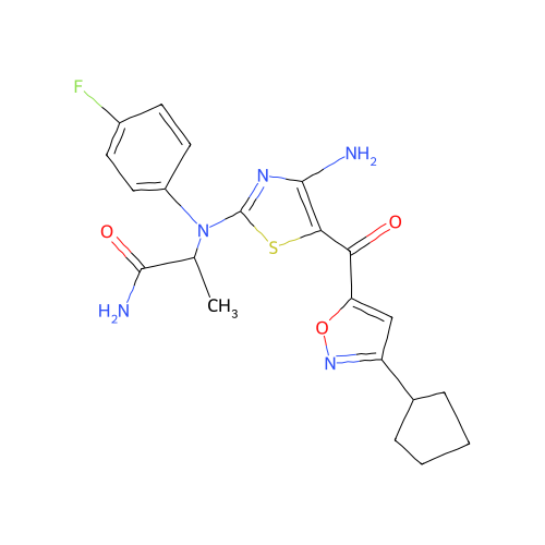 CC(C(N)=O)N(c1ccc(F)cc1)c1nc(N)c(C(=O)c2cc(C3CCCC3)no2)s1